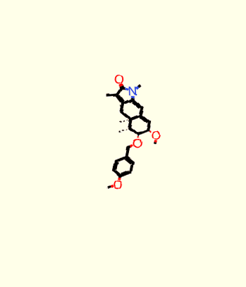 COc1ccc(CO[C@H]2[C@H](OC)C=C3C=C4C(=C(C)C(=O)N4C)C[C@]3(C)[C@H]2C)cc1